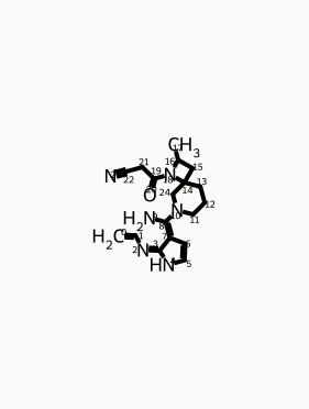 C=C/N=C1/NC=C/C1=C(/N)N1CCCC2(CC(C)N2C(=O)CC#N)C1